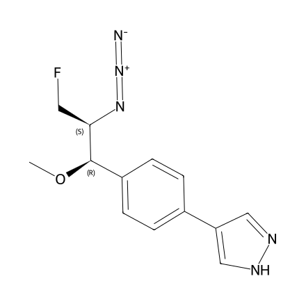 CO[C@H](c1ccc(-c2cn[nH]c2)cc1)[C@@H](CF)N=[N+]=[N-]